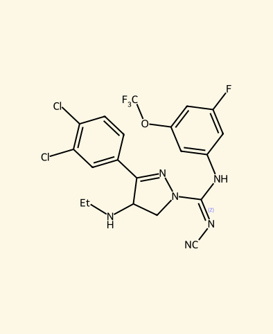 CCNC1CN(/C(=N\C#N)Nc2cc(F)cc(OC(F)(F)F)c2)N=C1c1ccc(Cl)c(Cl)c1